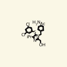 CC(C)c1nc(CO)n(Cc2ccccc2)c1Sc1cc(Cl)cc(Cl)c1.CC(N)=O